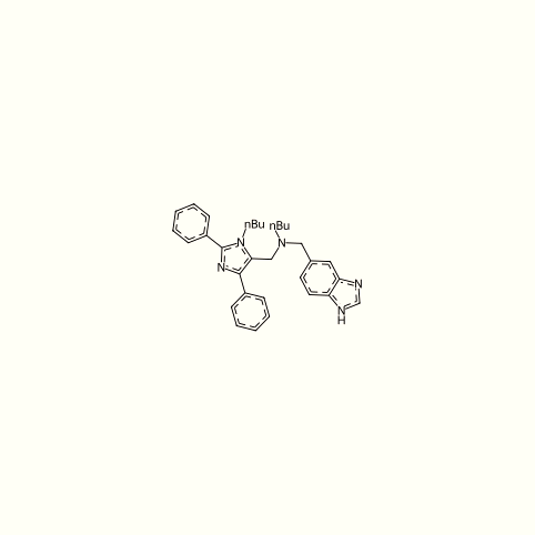 CCCCN(Cc1ccc2[nH]cnc2c1)Cc1c(-c2ccccc2)nc(-c2ccccc2)n1CCCC